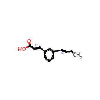 CC/C=C/c1cccc(/C=C/C(=O)O)c1